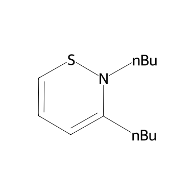 CCCCC1=CC=CSN1CCCC